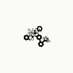 BC1(C(C)C)N(C(=O)Nc2ccccc2F)c2cc(-c3ccccc3-c3nnn[nH]3)ccc2N1C1CCCCC1